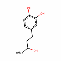 CCCCCCC(O)CCc1ccc(O)c(O)c1